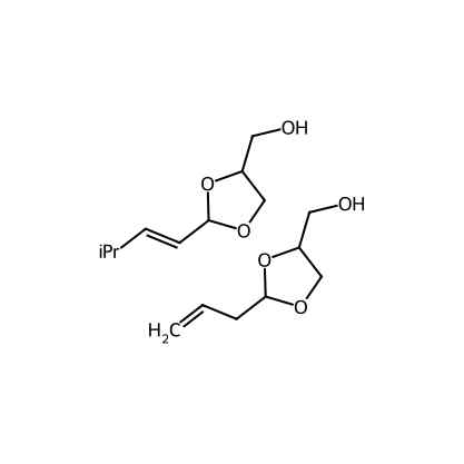 C=CCC1OCC(CO)O1.CC(C)C=CC1OCC(CO)O1